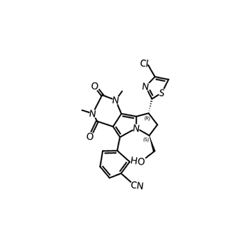 Cn1c(=O)c2c(-c3cccc(C#N)c3)n3c(c2n(C)c1=O)[C@H](c1nc(Cl)cs1)C[C@H]3CO